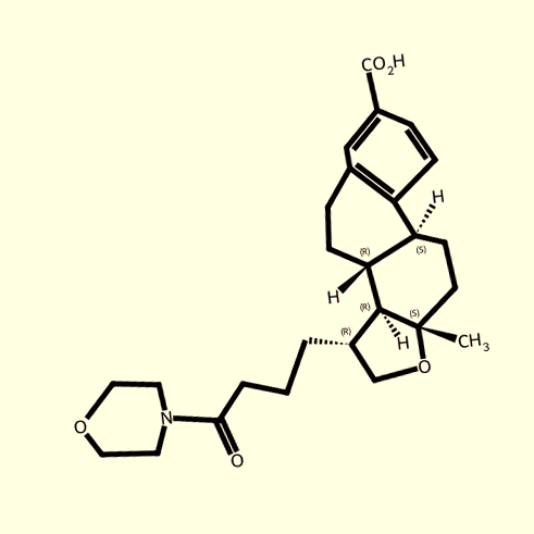 C[C@]12CC[C@@H]3c4ccc(C(=O)O)cc4CC[C@H]3[C@@H]1[C@@H](CCCC(=O)N1CCOCC1)CO2